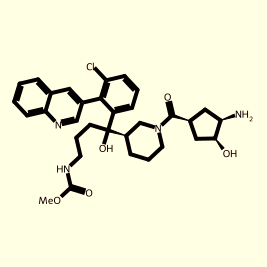 COC(=O)NCCCC(O)(c1cccc(Cl)c1-c1cnc2ccccc2c1)[C@@H]1CCCN(C(=O)[C@H]2C[C@@H](N)[C@@H](O)C2)C1